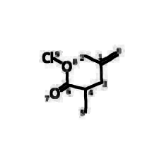 C=C(C)CC(C)C(=O)OCl